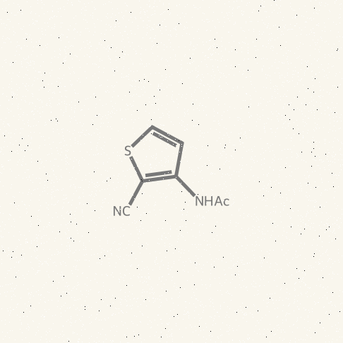 CC(=O)Nc1ccsc1C#N